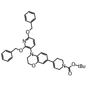 CC(C)(C)OC(=O)N1CC=C(c2ccc3c(c2)OCCN3c2ccc(OCc3ccccc3)nc2OCc2ccccc2)CC1